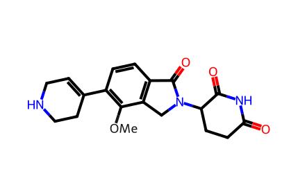 COc1c(C2=CCNCC2)ccc2c1CN(C1CCC(=O)NC1=O)C2=O